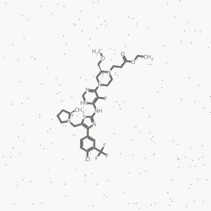 CCOC(=O)CCN1CCN(C2=NCNC(Nc3nc(-c4ccc(Cl)c(C(F)(F)F)c4)c(CN4CCC[C@H]4C)s3)=C2F)C[C@H]1COC